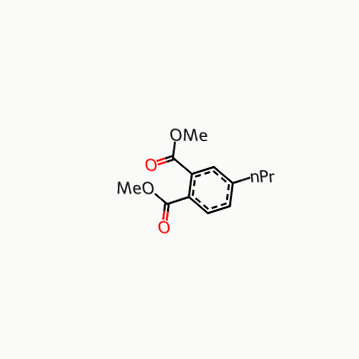 [CH2]CCc1ccc(C(=O)OC)c(C(=O)OC)c1